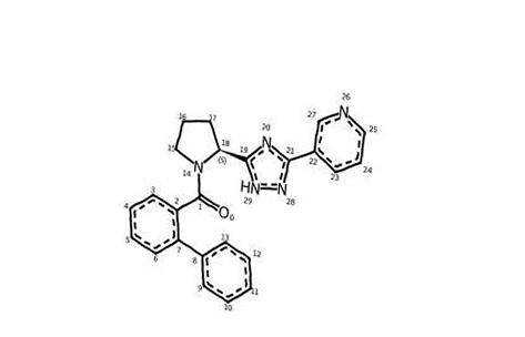 O=C(c1ccccc1-c1ccccc1)N1CCC[C@H]1c1nc(-c2cccnc2)n[nH]1